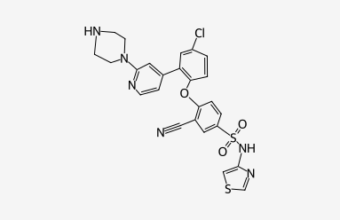 N#Cc1cc(S(=O)(=O)Nc2cscn2)ccc1Oc1ccc(Cl)cc1-c1ccnc(N2CCNCC2)c1